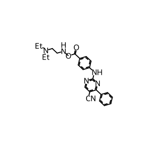 CCN(CC)CCNOC(=O)c1ccc(Nc2ncc(C#N)c(-c3ccccc3)n2)cc1